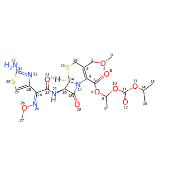 COCC1=C(C(=O)OC(C)OC(=O)OC(C)C)N2C(=O)[C@@H](NC(=O)C(=NOC)c3csc(N)n3)[C@H]2SC1